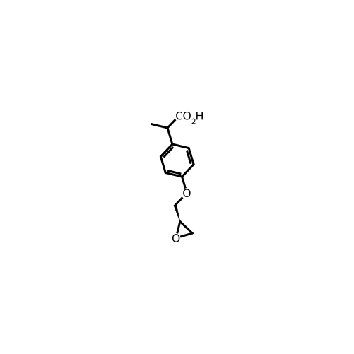 CC(C(=O)O)c1ccc(OC[C@H]2CO2)cc1